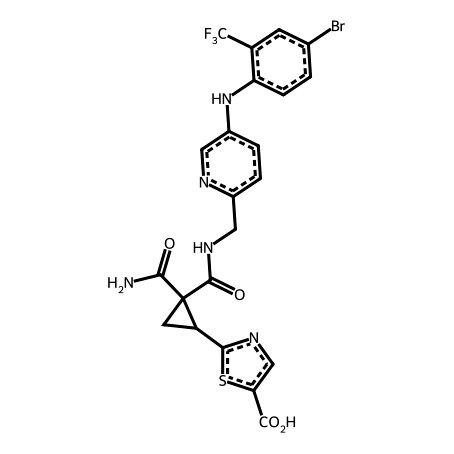 NC(=O)C1(C(=O)NCc2ccc(Nc3ccc(Br)cc3C(F)(F)F)cn2)CC1c1ncc(C(=O)O)s1